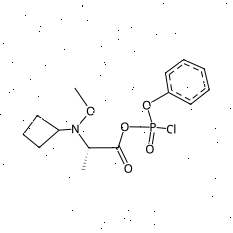 CON(C1CCC1)[C@@H](C)C(=O)OP(=O)(Cl)Oc1ccccc1